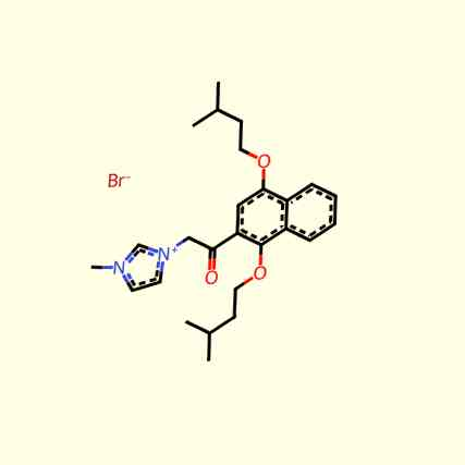 CC(C)CCOc1cc(C(=O)C[n+]2ccn(C)c2)c(OCCC(C)C)c2ccccc12.[Br-]